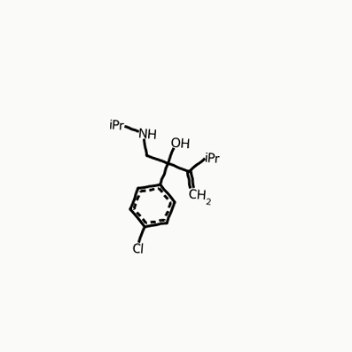 C=C(C(C)C)C(O)(CNC(C)C)c1ccc(Cl)cc1